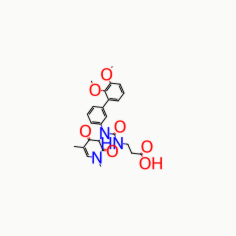 COc1cccc(-c2cccc(N(C(=O)NCCC(=O)O)[C@H]3C(=O)C(C)=CN(C)C3=O)c2)c1OC